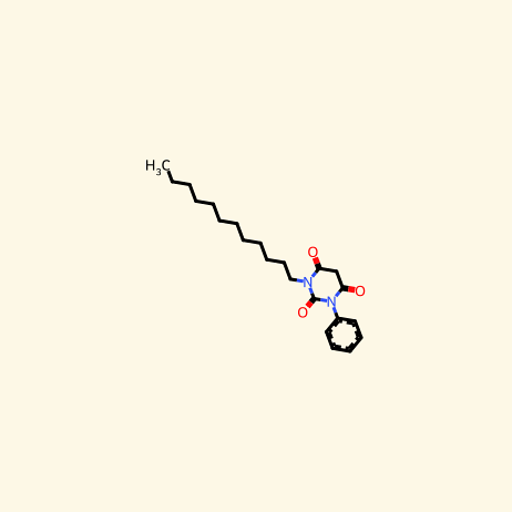 CCCCCCCCCCCCN1C(=O)CC(=O)N(c2ccccc2)C1=O